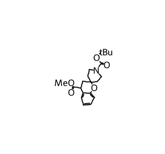 COC(=O)C1CC2(CCN(C(=O)OC(C)(C)C)CC2)Oc2ccccc21